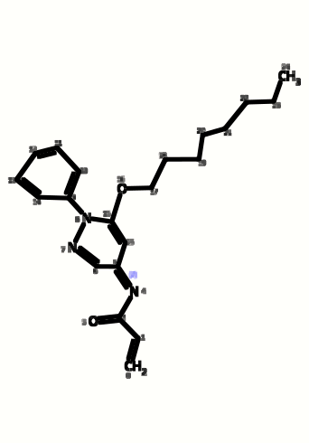 C=CC(=O)/N=c1\cnn(-c2ccccc2)c(OCCCCCCCC)c1